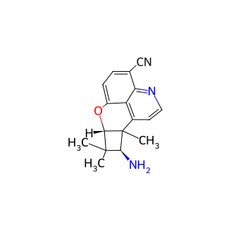 CC1(C)[C@H](N)C2(C)c3ccnc4c(C#N)ccc(c34)O[C@@H]12